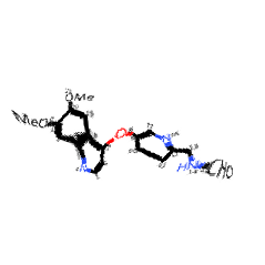 COc1cc2nccc(Oc3ccc(CNC=O)nc3)c2cc1OC